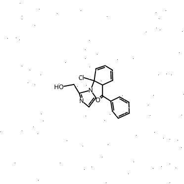 O=C(c1ccccc1)C1C=CC=CC1(Cl)n1ccnc1CO